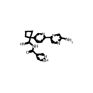 N=C(NC(=O)c1cn[nH]c1)C1(c2ccc(-c3cnc(N)cn3)nc2)CCC1